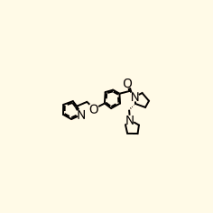 O=C(c1ccc(OCc2ccccn2)cc1)N1CCC[C@@H]1CN1CCCC1